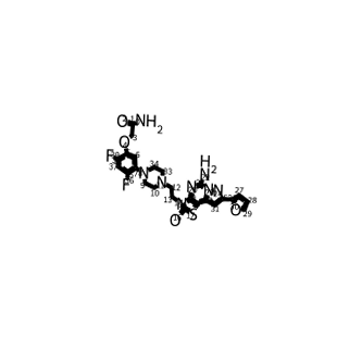 NC(=O)COc1cc(N2CCN(CCn3c(=O)sc4c3nc(N)n3nc(-c5ccco5)cc43)CC2)c(F)cc1F